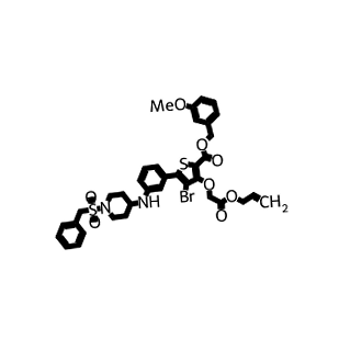 C=CCOC(=O)COc1c(C(=O)OCc2cccc(OC)c2)sc(-c2cccc(NC3CCN(S(=O)(=O)Cc4ccccc4)CC3)c2)c1Br